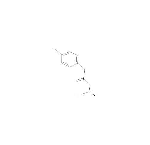 CC[C@H](NC(=O)Cc1ccc(Br)cc1)C(=O)O